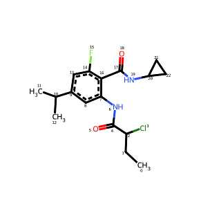 CCC(Cl)C(=O)Nc1cc(C(C)C)cc(F)c1C(=O)NC1CC1